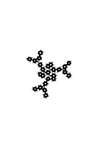 c1ccc(-c2ccc3c(c2)c2cc(-c4ccccc4)ccc2n3-c2ccc(-c3ccc(N(c4cc(N(c5ccc(-c6ccc(-n7c8ccc(-c9ccccc9)cc8c8cc(-c9ccccc9)ccc87)cc6)cc5)c5cccc6ccccc56)cc(N(c5ccc(-c6ccc(-n7c8ccc(-c9ccccc9)cc8c8cc(-c9ccccc9)ccc87)cc6)cc5)c5cccc6ccccc56)c4)c4cccc5ccccc45)cc3)cc2)cc1